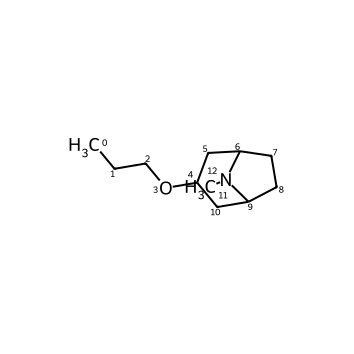 CCCOC1CC2CCC(C1)N2C